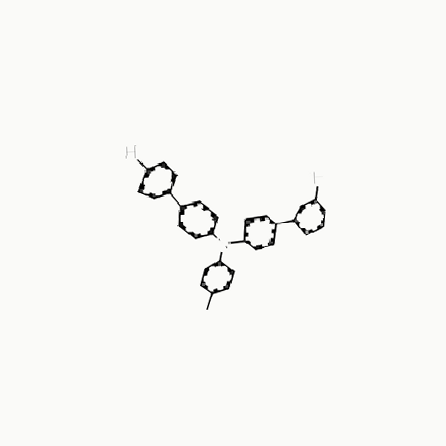 [3H]c1ccc(-c2ccc(N(c3ccc(C)cc3)c3ccc(-c4cccc([3H])c4)cc3)cc2)cc1